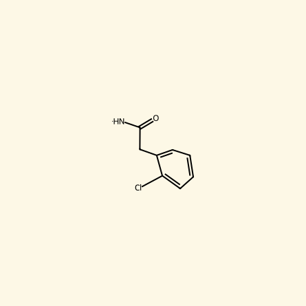 [NH]C(=O)Cc1ccccc1Cl